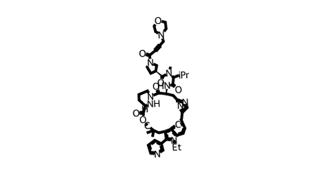 CCn1c(-c2cccnc2)c2c3cc(ccc31)-c1cnc(n1C)C[C@H](NC(=O)C(C(C)C)N(C)C(=O)[C@H]1CCN(C(=O)C#CCN3CCOCC3)C1)C(=O)N1CCC[C@H](N1)C(=O)OCC(C)(C)C2